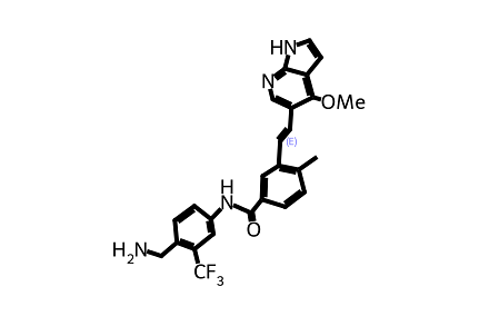 COc1c(/C=C/c2cc(C(=O)Nc3ccc(CN)c(C(F)(F)F)c3)ccc2C)cnc2[nH]ccc12